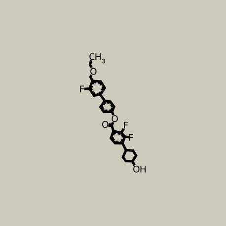 CCOCc1ccc(-c2ccc(OC(=O)c3ccc(C4CCC(O)CC4)c(F)c3F)cc2)cc1F